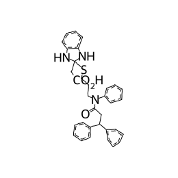 O=C(O)CC1(SCCCN(C(=O)CC(c2ccccc2)c2ccccc2)c2ccccc2)Nc2ccccc2N1